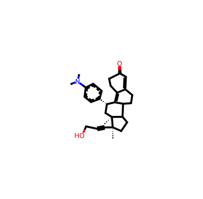 CN(C)c1ccc([C@H]2C[C@@]3(C)C(CC[C@@]3(C)C#CCO)C3CCC4=CC(=O)CCC4=C32)cc1